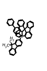 CC1(C)c2ccccc2-c2ccc(N(c3ccc(-c4ccccc4)cc3)c3cccc4c3C3(c5ccccc5-4)c4ccccc4C4C=CC=CC43)cc21